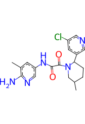 Cc1cc(NC(=O)C(=O)N2CC(C)CCC2c2cncc(Cl)c2)cnc1N